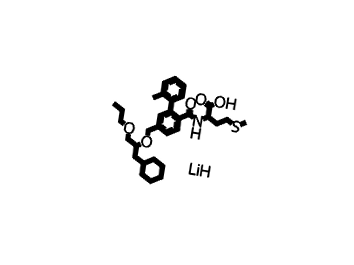 CCCOCC(CC1CCCCC1)OCc1ccc(C(=O)NC(CCSC)C(=O)O)c(-c2ccccc2C)c1.[LiH]